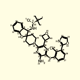 CC(C)(C)[S@@+]([O-])N[C@@H]1c2ccccc2OC12CCN(c1nc(N)c(Sc3cccc(-c4ncco4)c3Cl)nc1C1COC1)CC2